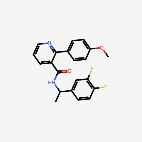 COc1ccc(-c2ncccc2C(=O)NC(C)c2ccc(F)c(F)c2)cc1